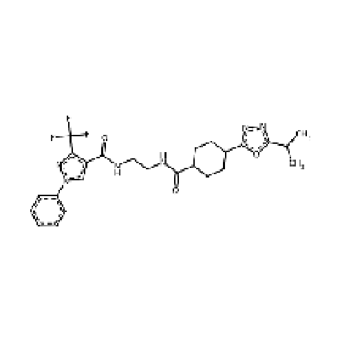 CC(C)c1nnc(C2CCC(C(=O)NCCNC(=O)c3cn(-c4ccccc4)nc3C(F)(F)F)CC2)o1